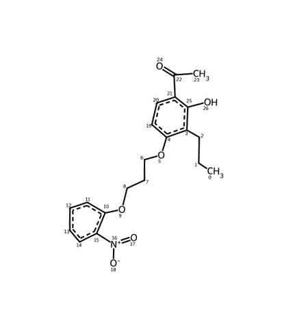 CCCc1c(OCCCOc2ccccc2[N+](=O)[O-])ccc(C(C)=O)c1O